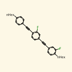 CCCCCCc1ccc(C#Cc2ccc(C#Cc3ccc(CCCCCC)c(F)c3)cc2F)cc1